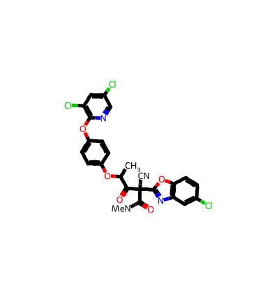 CNC(=O)C(C#N)(C(=O)C(C)Oc1ccc(Oc2ncc(Cl)cc2Cl)cc1)c1nc2cc(Cl)ccc2o1